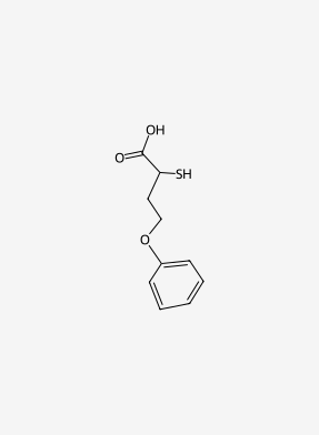 O=C(O)C(S)CCOc1ccccc1